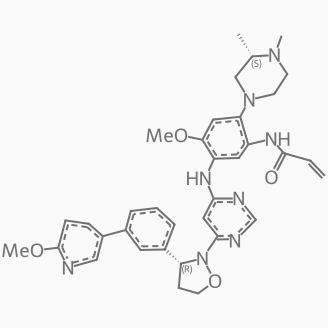 C=CC(=O)Nc1cc(Nc2cc(N3OCC[C@@H]3c3cccc(-c4ccc(OC)nc4)c3)ncn2)c(OC)cc1N1CCN(C)[C@@H](C)C1